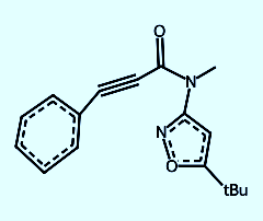 CN(C(=O)C#Cc1ccccc1)c1cc(C(C)(C)C)on1